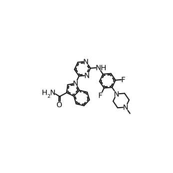 CN1CCN(c2c(F)cc(Nc3nccc(-n4cc(C(N)=O)c5ccccc54)n3)cc2F)CC1